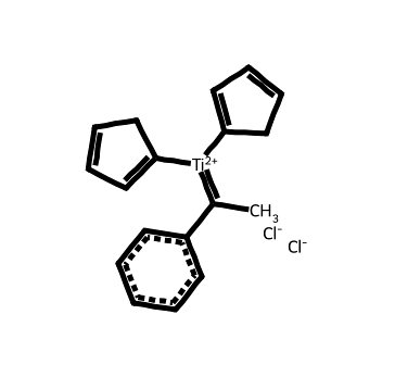 C[C](c1ccccc1)=[Ti+2]([C]1=CC=CC1)[C]1=CC=CC1.[Cl-].[Cl-]